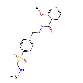 CCOC(=O)NCS(=O)(=O)c1ccc(CCNC(=O)c2ccccc2OCC)cc1